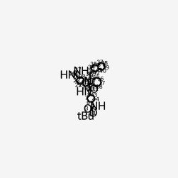 CC(C)(C)OC(=O)N[C@H]1CC[C@H](NC(=O)C2(C3CCCCCC3)Cc3ccc(C(=N)N)cc3N2CCc2ccc3ccccc3c2)CC1